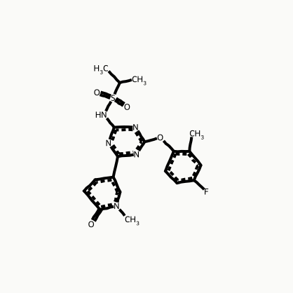 Cc1cc(F)ccc1Oc1nc(NS(=O)(=O)C(C)C)nc(-c2ccc(=O)n(C)c2)n1